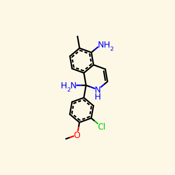 COc1ccc(C2(N)NC=Cc3c2ccc(C)c3N)cc1Cl